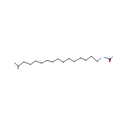 CC(C)CCCCCCCCCCCCCCNC(=O)O